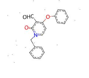 O=Cc1c(Oc2ccccc2)ccn(Cc2ccccc2)c1=O